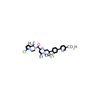 C=C(/C=C1/N=C(C(=O)N2CCn3c(Cl)ccc3C2C)C=C(CC)N1C)c1ccc(-c2ccc(C(=O)O)cn2)cc1F